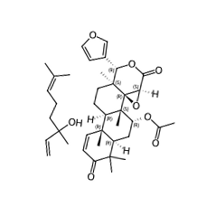 C=CC(C)(O)CCC=C(C)C.CC(=O)O[C@@H]1C[C@H]2C(C)(C)C(=O)C=C[C@]2(C)[C@H]2CC[C@@]3(C)[C@H](c4ccoc4)OC(=O)[C@H]4O[C@]43[C@@]21C